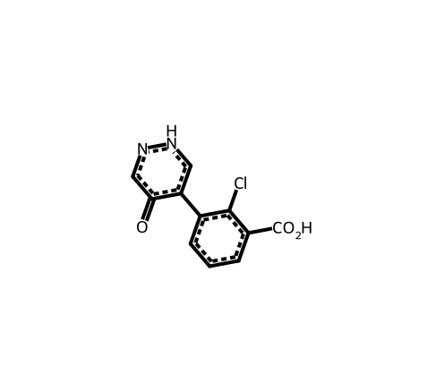 O=C(O)c1cccc(-c2c[nH]ncc2=O)c1Cl